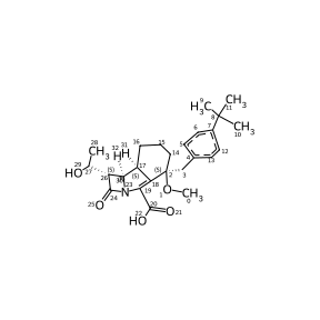 CO[C@]1(Cc2ccc(C(C)(C)C)cc2)CCC[C@H]2C1=C(C(=O)O)N1C(=O)[C@H](C(C)O)[C@@H]21